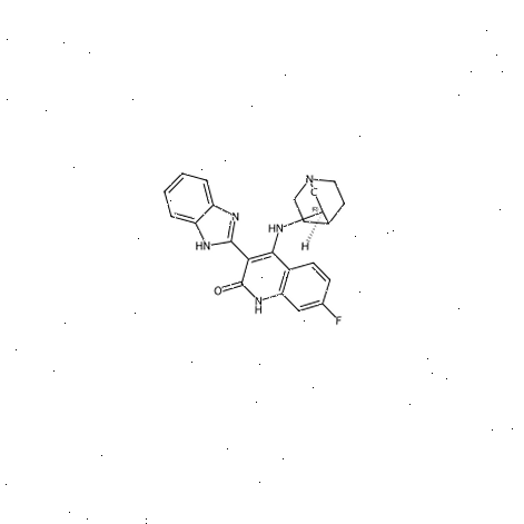 O=c1[nH]c2cc(F)ccc2c(N[C@H]2CN3CCC2CC3)c1-c1nc2ccccc2[nH]1